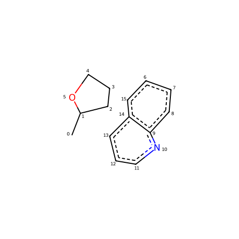 CC1CCCO1.c1ccc2ncccc2c1